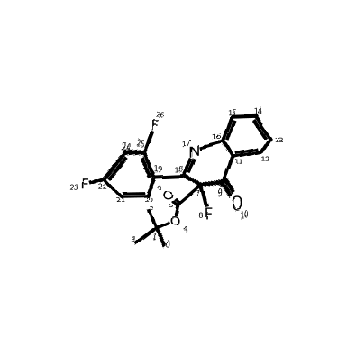 CC(C)(C)OC(=O)C1(F)C(=O)c2ccccc2N=C1c1ccc(F)cc1F